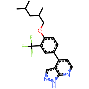 CC(C)CC(C)COc1ccc(-c2ccnc3[nH]ncc23)cc1C(F)(F)F